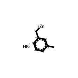 Br.Cc1cccc([CH2][Zn])c1